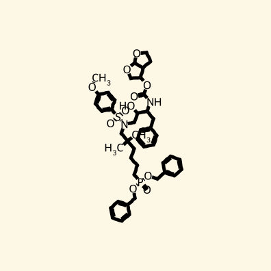 COc1ccc(S(=O)(=O)N(CC(O)C(Cc2ccccc2)NC(=O)OC2COC3OCCC23)CC(C)(C)CCCCP(=O)(OCc2ccccc2)OCc2ccccc2)cc1